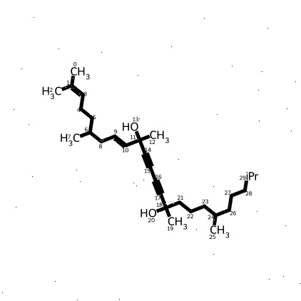 CC(C)=CCCC(C)CC=CC(C)(O)C#CC#CC(C)(O)CCCC(C)CCCC(C)C